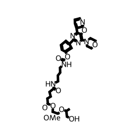 COC(COC(=O)CCCC(=O)NCCCCNC(=O)Oc1cccc(-c2nc(N3CCOCC3)c3oc4ncccc4c3n2)c1)OC(C)CO